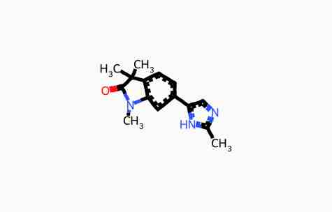 Cc1ncc(-c2ccc3c(c2)N(C)C(=O)C3(C)C)[nH]1